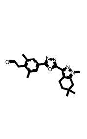 Cc1cc(-c2nnc(-c3nn(C)c4c3CCC(C)(C)C4)o2)cc(C)c1CC=O